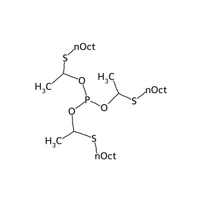 CCCCCCCCSC(C)OP(OC(C)SCCCCCCCC)OC(C)SCCCCCCCC